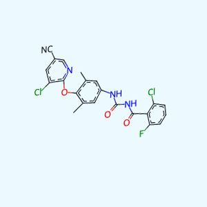 Cc1cc(NC(=O)NC(=O)c2c(F)cccc2Cl)cc(C)c1Oc1ncc(C#N)cc1Cl